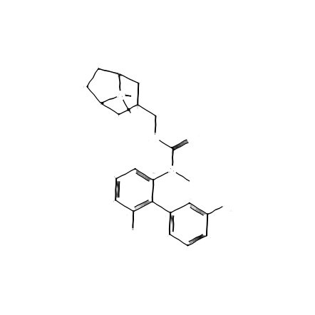 CN(C(=O)OCC1CC2CCC(C1)[N+]2(C)C)c1cccc(F)c1-c1cccc(Cl)c1